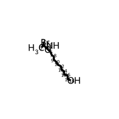 CC(Br)C(=N)OCCCCCCCCCCCCO